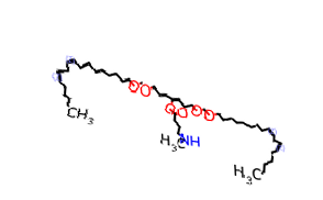 CCCCC/C=C\C/C=C\CCCCCCCCOCOCCCC(CCCOCOCCCCCCCC/C=C\C/C=C\CCCCC)OC(=O)CCCNC